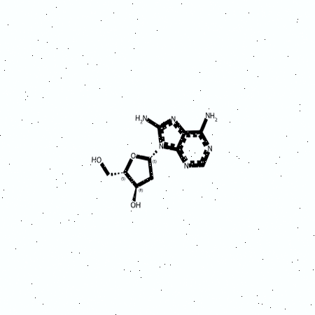 Nc1ncnc2c1nc(N)n2[C@@H]1C[C@@H](O)[C@H](CO)O1